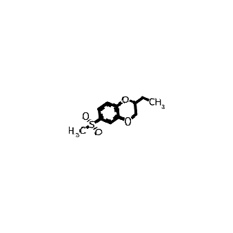 CCC1COc2cc(S(C)(=O)=O)ccc2O1